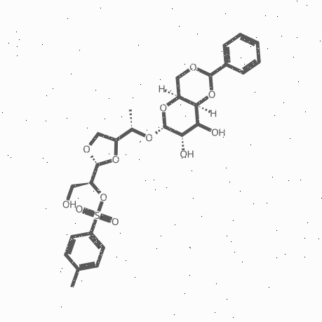 Cc1ccc(S(=O)(=O)O[C@@H](CO)[C@@H]2OCC([C@H](C)O[C@@H]3O[C@H]4COC(c5ccccc5)O[C@H]4C(O)[C@@H]3O)O2)cc1